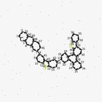 c1ccc2cc3cc(-c4ccc5sc6ccc(-c7ccc8c(c7)c7ccccc7c7ccc9c%10ccccc%10sc9c78)cc6c5c4)ccc3cc2c1